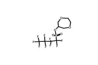 O=S(=O)(OC1COCCOC1)C(F)(F)C(F)(F)C(F)(F)C(F)(F)F